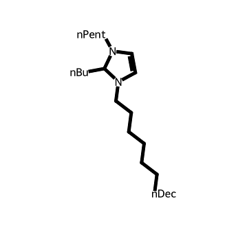 CCCCCCCCCCCCCCCCN1C=CN(CCCCC)C1CCCC